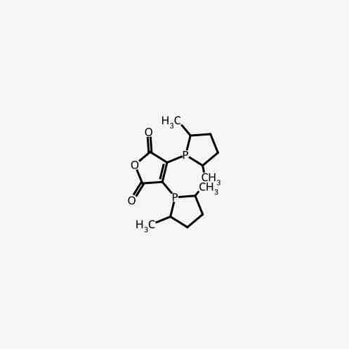 CC1CCC(C)P1C1=C(P2C(C)CCC2C)C(=O)OC1=O